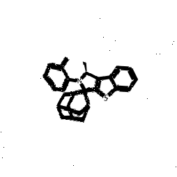 Cc1ccccc1N1[C@@H](C)c2c(sc3ccccc23)C12C1CC3CC(C1)CC2C3